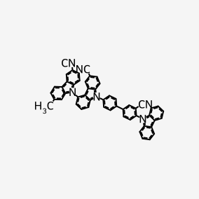 Cc1ccc2c3cc(C#N)ccc3n(-c3cccc4c3c3cc(C#N)ccc3n4-c3ccc(-c4ccc(-n5c6ccccc6c6ccccc65)c(C#N)c4)cc3)c2c1